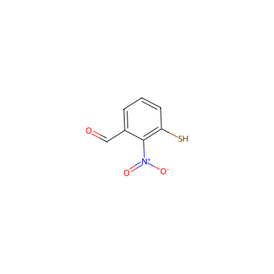 O=Cc1cccc(S)c1[N+](=O)[O-]